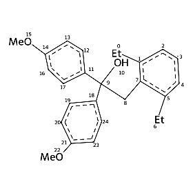 CCc1c[c]cc(CC)c1CC(O)(c1ccc(OC)cc1)c1ccc(OC)cc1